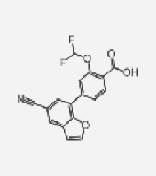 N#Cc1cc(-c2ccc(C(=O)O)c(OC(F)F)c2)c2occc2c1